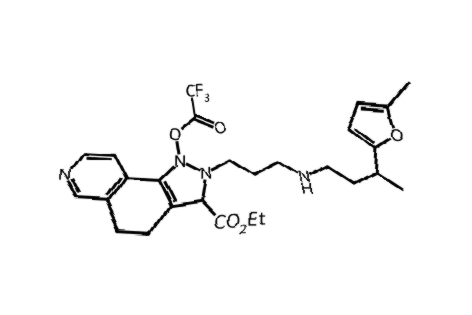 CCOC(=O)C1C2=C(c3ccncc3CC2)N(OC(=O)C(F)(F)F)N1CCCNCCC(C)c1ccc(C)o1